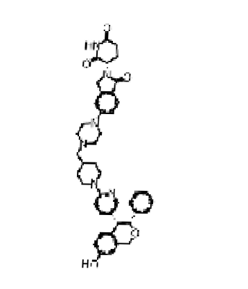 O=C1CC[C@H](N2Cc3cc(N4CCN(CC5CCN(c6ccc([C@H]7c8ccc(O)cc8CO[C@H]7c7ccccc7)cn6)CC5)CC4)ccc3C2=O)C(=O)N1